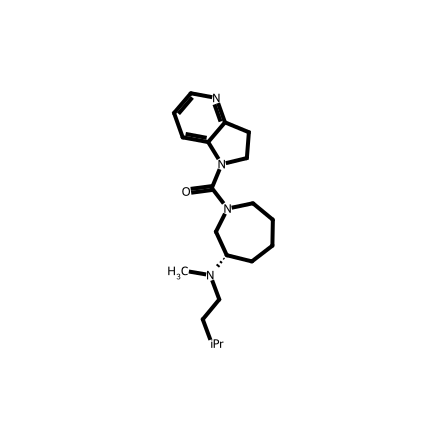 CC(C)CCN(C)[C@H]1CCCCN(C(=O)N2CCc3ncccc32)C1